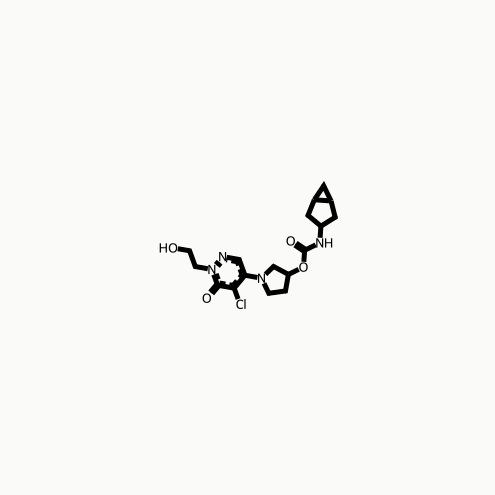 O=C(NC1CC2CC2C1)OC1CCN(c2cnn(CCO)c(=O)c2Cl)C1